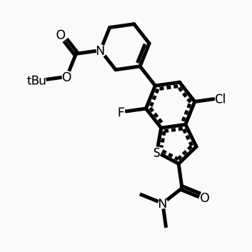 CN(C)C(=O)c1cc2c(Cl)cc(C3=CCCN(C(=O)OC(C)(C)C)C3)c(F)c2s1